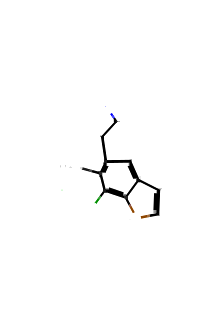 COc1c(CCN)cc2ccsc2c1F.Cl